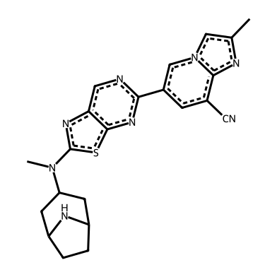 Cc1cn2cc(-c3ncc4nc(N(C)C5CC6CCC(C5)N6)sc4n3)cc(C#N)c2n1